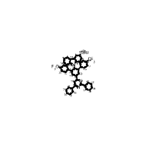 CC(C)(C)c1ccc2c(c1)c1ccccc1n2-c1c(-c2ccc(C(F)(F)F)cc2)cc(-c2cc(-c3ccccc3)nc(-c3ccccc3)n2)cc1-c1ccc(C(F)(F)F)cc1